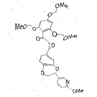 COCOc1cc(OCOC)c(C(=O)C2OC2c2ccc3c(c2)OC(c2ccc(OC)nc2)CO3)c(OCOC)c1